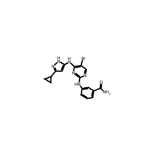 NC(=O)c1cccc(Nc2ncc(Br)c(Nc3cc(C4CC4)n[nH]3)n2)c1